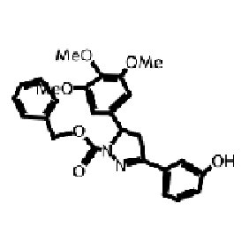 COc1cc(C2CC(c3cccc(O)c3)=NN2C(=O)OCc2ccccc2)cc(OC)c1OC